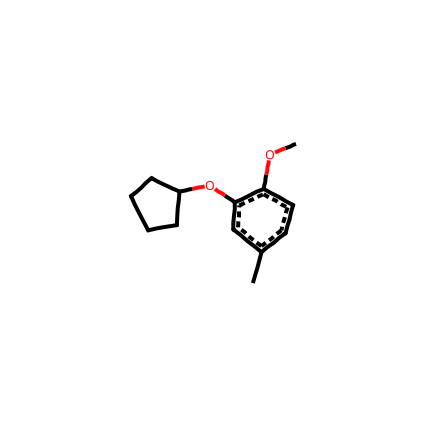 COc1ccc(C)cc1OC1CCCC1